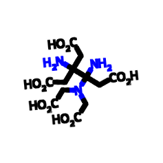 NC(CC(=O)O)(CC(=O)O)C(N)(CC(=O)O)N(CC(=O)O)CC(=O)O